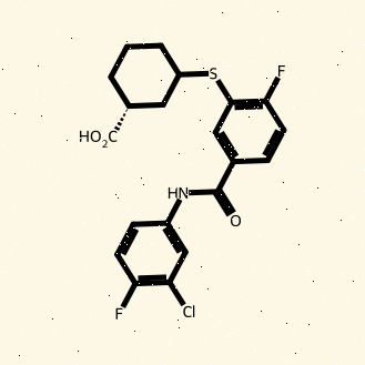 O=C(Nc1ccc(F)c(Cl)c1)c1ccc(F)c(SC2CCC[C@@H](C(=O)O)C2)c1